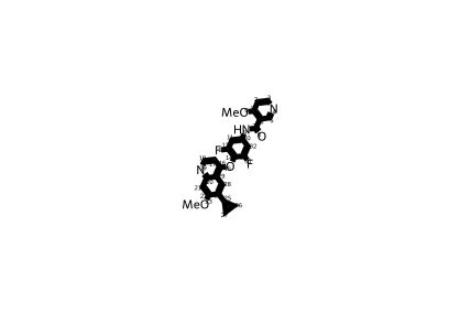 COc1ccncc1C(=O)Nc1cc(F)c(Oc2ccnc3cc(OC)c(C4CC4)cc23)c(F)c1